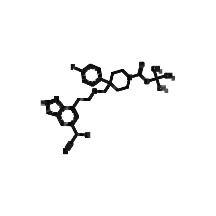 CC(C)(C)OC(=O)N1CCC(COCCc2cc(C(Cl)C#N)cc3c[nH]nc23)(c2ccc(F)cc2)CC1